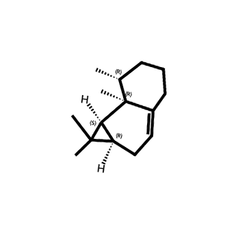 C[C@@H]1CCCC2=CC[C@@H]3[C@@H](C3(C)C)[C@]21C